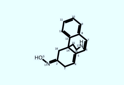 ON=C1CC=C2C3=Cc4ccccc4C2(CCN3)C1